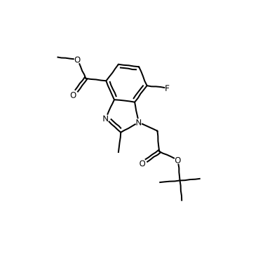 COC(=O)c1ccc(F)c2c1nc(C)n2CC(=O)OC(C)(C)C